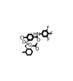 CC(=O)C[C@@H]1CCCC(C)[C@H]1CS(=O)(=O)c1cc(C(=O)Nc2cc(F)c(F)c(F)c2)ccc1Cl